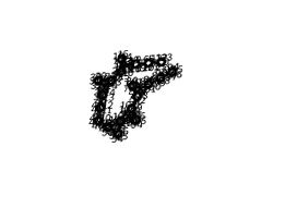 c1ccc(-c2ccc(-c3ccc(-n4c5ccccc5c5cc(-c6ccc7c(c6)c6ccccc6n7-c6ccc(-c7ccc(-c8cccc(-c9ccc%10c%11ccccc%11c%11cc(-n%12c%13ccccc%13c%13cc(-c%14ccc%15c(c%14)c%14ccccc%14n%15-c%14ccc(-c%15ccc(-c%16ccccc%16)cc%15)cc%14)ccc%13%12)ccc%11c%10c9)c8)cc7)cc6)ccc54)cc3)cc2)cc1